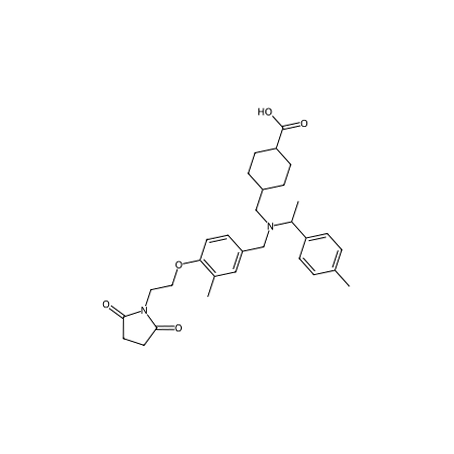 Cc1ccc(C(C)N(Cc2ccc(OCCN3C(=O)CCC3=O)c(C)c2)CC2CCC(C(=O)O)CC2)cc1